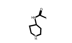 O=C(I)NC1CCNCC1